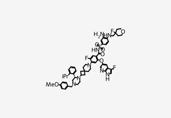 COc1ccc(CN2CCN(C3CC4(CCN(c5cc(Oc6cnc7[nH]cc(F)c7c6)c(C(=O)NS(=O)(=O)c6ccc(NCC7(F)CCOCC7)c(N)c6)cc5F)CC4)C3)[C@H](c3ccccc3C(C)C)C2)cc1